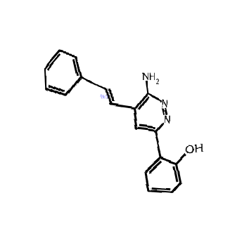 Nc1nnc(-c2ccccc2O)cc1/C=C/c1ccccc1